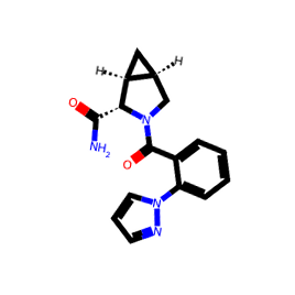 NC(=O)[C@@H]1[C@H]2C[C@H]2CN1C(=O)c1ccccc1-n1cccn1